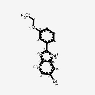 FC(F)(F)COc1cccc(-c2nc3ncc(Br)cc3[nH]2)c1